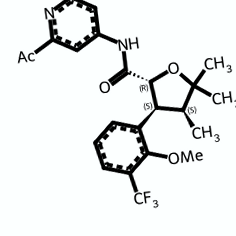 COc1c([C@H]2[C@H](C(=O)Nc3ccnc(C(C)=O)c3)OC(C)(C)[C@H]2C)cccc1C(F)(F)F